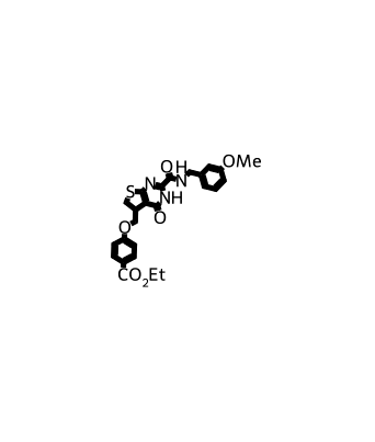 CCOC(=O)c1ccc(OCC2CSc3nc(C(=O)NCc4cccc(OC)c4)[nH]c(=O)c32)cc1